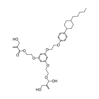 C=C(CO)C(=O)OCCOc1cc(OCCOc2ccc(C3CCC(CCCCC)CC3)cc2)cc(OCCOC(O)C(=C)CO)c1